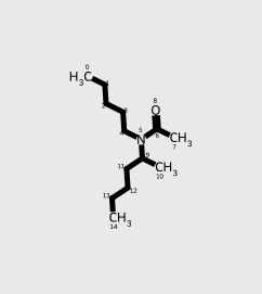 CCCCCN(C(C)=O)C(C)CCCC